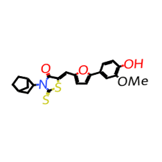 COc1cc(-c2ccc(/C=C3\SC(=S)N(C4CC5CCC4C5)C3=O)o2)ccc1O